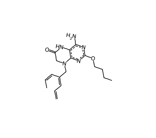 C=C/C=C(\C=C/C)CN1CC(=O)Nc2c(N)nc(OCCCC)nc21